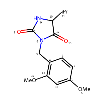 COc1ccc(CN2C(=O)NC(C(C)C)C2=O)c(OC)c1